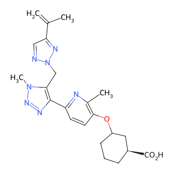 C=C(C)c1cnn(Cc2c(-c3ccc(OC4CCC[C@H](C(=O)O)C4)c(C)n3)nnn2C)n1